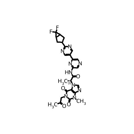 CC(=O)Cn1c(=O)c2c(ncn2[C@@H](C)C(=O)Nc2cncc(-c3cnc(C4CC5C(C4)C5(F)F)nc3)n2)n(C)c1=O